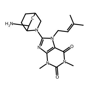 CC(C)=CCn1c(N2CC3CCC2C(N)C3)nc2c1c(=O)n(C)c(=O)n2C